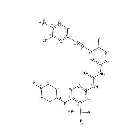 Cc1ccc(NC(=O)Nc2ccc(CN3CCN(C)CC3)c(C(F)(F)F)c2)cc1C#Cc1cnc(N)c(Cl)c1